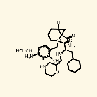 Cc1nc(N)ccc1C[N+]1(C(=O)[C@@H](CC2CCCCC2)NCC2CNCCO2)CCC[C@@H]2C[C@@]21C(N)=O.Cl.Cl